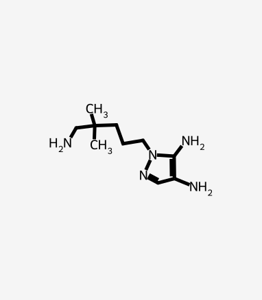 CC(C)(CN)CCCn1ncc(N)c1N